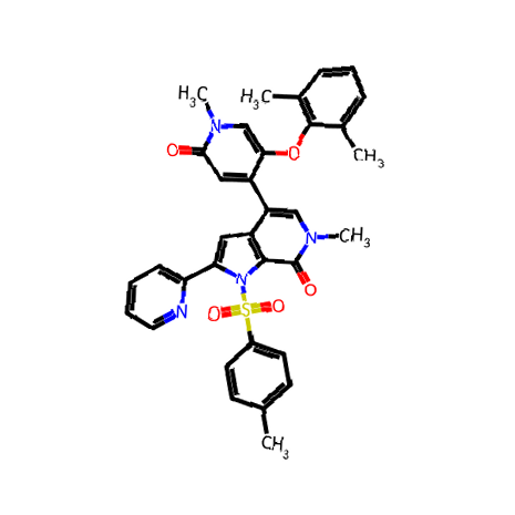 Cc1ccc(S(=O)(=O)n2c(-c3ccccn3)cc3c(-c4cc(=O)n(C)cc4Oc4c(C)cccc4C)cn(C)c(=O)c32)cc1